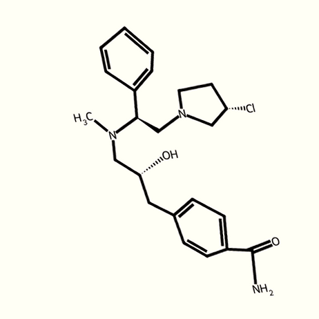 CN(C[C@H](O)Cc1ccc(C(N)=O)cc1)[C@H](CN1CC[C@H](Cl)C1)c1ccccc1